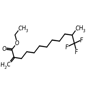 C=C(CCCCCCCCC(C)C(F)(F)F)C(=O)OCC